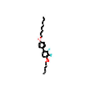 CCCCCCCCOc1ccc(-c2ccc(OCCCCC)c(F)c2F)cc1